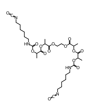 CC(OC(=O)NCCCCCCN=C=O)C(=O)OC(C)C(=O)OCCOC(=O)C(C)OC(=O)C(C)OC(=O)NCCCCCCN=C=O